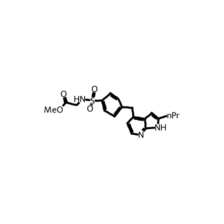 CCCc1cc2c(Cc3ccc(S(=O)(=O)NCC(=O)OC)cc3)ccnc2[nH]1